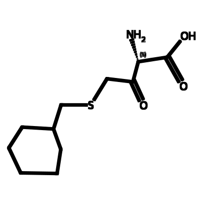 N[C@H](C(=O)O)C(=O)CSCC1CCCCC1